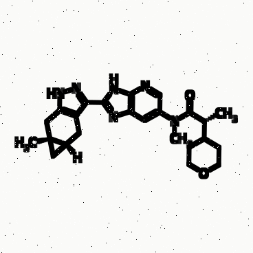 C[C@@H](C(=O)N(C)c1cnc2[nH]c(-c3n[nH]c4c3C[C@@H]3C[C@]3(C)C4)nc2c1)C1CCOCC1